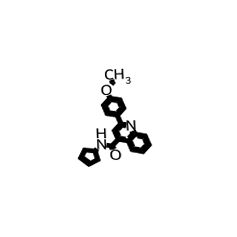 CCOc1ccc(-c2cc(C(=O)NC3CC=CC3)c3ccccc3n2)cc1